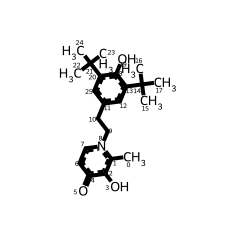 Cc1c(O)c(=O)ccn1CCc1cc(C(C)(C)C)c(O)c(C(C)(C)C)c1